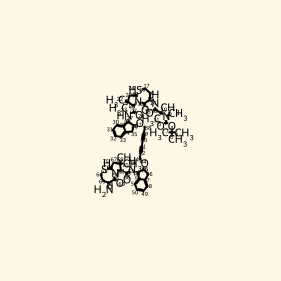 CN(C(=O)OC(C)(C)C)C(C)(C)C(=O)N[C@H]1CCS[C@H]2CC(C)(C)[C@@H](C(=O)N[C@H]3c4ccccc4C[C@H]3OCC#CC#CCO[C@@H]3Cc4ccccc4[C@@H]3NC(=O)[C@H]3N4C(=O)[C@@H](N)CCS[C@H]4CC3(C)C)N2C1=O